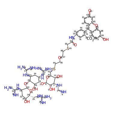 N=CNC1C(O)[C@@H](O[C@H]2C(NC(=N)N)C[C@H](NC(=N)N)C(OC3O[C@H](CNC(=N)N)C(O)C[C@H]3NC(=N)N)C2O)OC(CSCCOCCSCC(=O)Nc2ccc(-c3c4ccc(=O)cc-4oc4cc(O)ccc34)c(C(=O)O)c2)[C@H]1O